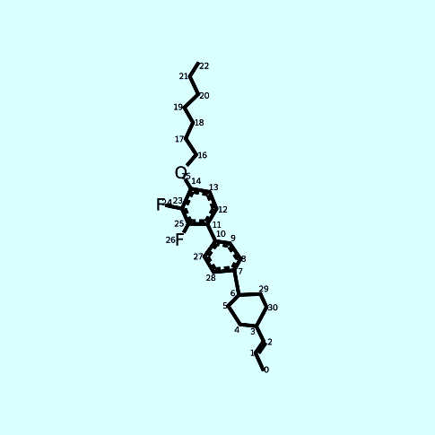 C/C=C/C1CCC(c2ccc(-c3ccc(OCCCCCCC)c(F)c3F)cc2)CC1